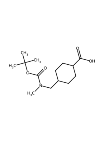 CN(CC1CCC(C(=O)O)CC1)C(=O)OC(C)(C)C